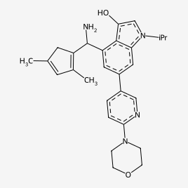 CC1=CC(C)=C(C(N)c2cc(-c3ccc(N4CCOCC4)nc3)cc3c2c(O)cn3C(C)C)C1